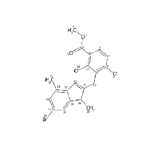 COC(=O)c1ccc(Cl)c(CC2=Cc3c(C)cc(Br)cc3C2C)c1Cl